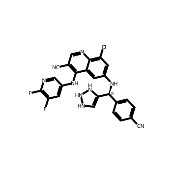 N#Cc1ccc([C@H](Nc2cc(Cl)c3ncc(C#N)c(Nc4cnc(F)c(F)c4)c3c2)C2=CNNN2)cc1